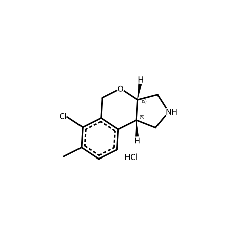 Cc1ccc2c(c1Cl)CO[C@@H]1CNC[C@H]21.Cl